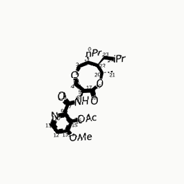 CCC[C@H]1COC[C@H](NC(=O)c2nccc(OC)c2OC(C)=O)C(=O)O[C@@H](C)[C@@H]1CC(C)C